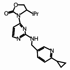 CC(C)C1COC(=O)N1c1ccnc(NCc2ccc(C3CC3)nc2)n1